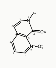 Cn1ccc2ccc[n+]([O-])c2c1=O